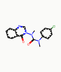 CN(C(=O)N(C)n1cnc2ccccc2c1=O)c1ccc(Cl)cc1